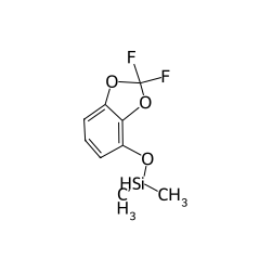 C[SiH](C)Oc1cccc2c1OC(F)(F)O2